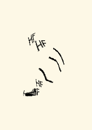 CC.CC.CC.F.F.F.F